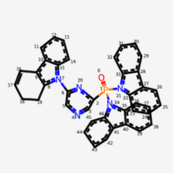 O=P(c1cncc(-n2c3c(c4ccccc42)C=CCC3)n1)(n1c2ccccc2c2ccccc21)n1c2ccccc2c2ccccc21